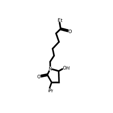 CCC(=O)CCCCCN1C(=O)C(C(C)C)CC1O